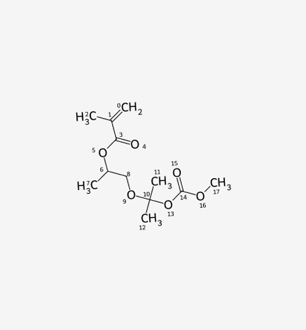 C=C(C)C(=O)OC(C)COC(C)(C)OC(=O)OC